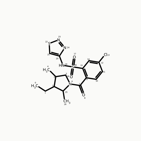 CCC1C(C)CN(C(=O)c2ccc(Cl)cc2S(=O)(=O)Nc2csnn2)C1C